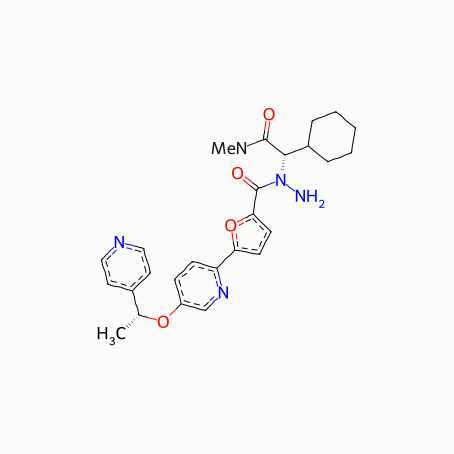 CNC(=O)[C@H](C1CCCCC1)N(N)C(=O)c1ccc(-c2ccc(O[C@H](C)c3ccncc3)cn2)o1